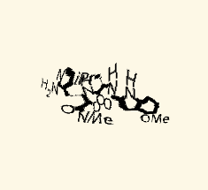 CNC(=O)C(=O)[C@H](Cc1cccnc1N)NC(=O)[C@H](CC(C)C)NC(=O)c1cc2c(OC)cccc2[nH]1